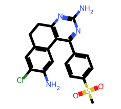 CS(=O)(=O)c1ccc(-c2nc(N)nc3c2-c2cc(N)c(Cl)cc2CC3)cc1